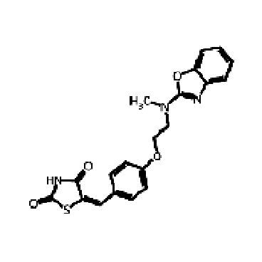 CN(CCOc1ccc(C=C2SC(=O)NC2=O)cc1)c1nc2ccccc2o1